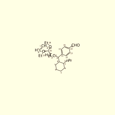 C=C.CCCC1CCCCC1C(C)c1ccc(C=O)cc1.CCOC(C)OCC